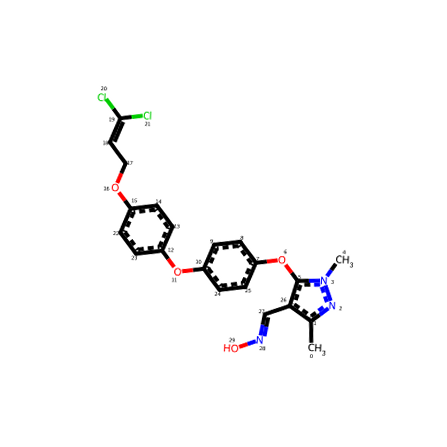 Cc1nn(C)c(Oc2ccc(Oc3ccc(OCC=C(Cl)Cl)cc3)cc2)c1C=NO